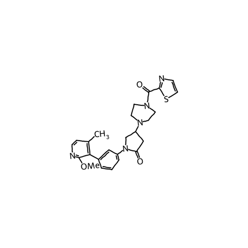 COc1nccc(C)c1-c1cccc(N2CC(N3CCN(C(=O)c4nccs4)CC3)CC2=O)c1